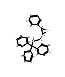 c1ccc([C@H]2O[C@@H]2COC(c2ccccc2)(c2ccccc2)c2ccccc2)cc1